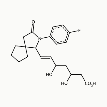 O=C(O)CC(O)CC(O)C=CC1N(c2ccc(F)cc2)C(=O)CC12CCCC2